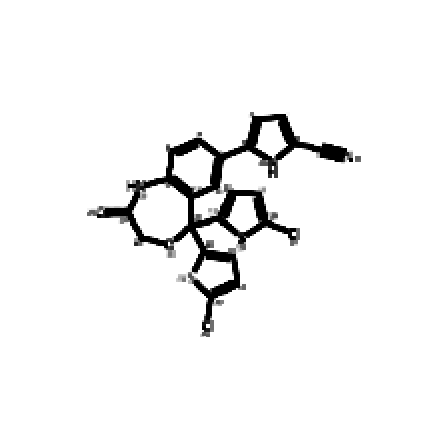 N#Cc1ccc(-c2ccc3c(c2)C(c2ccc(Cl)s2)(c2ccc(Cl)s2)OCC(=O)N3)[nH]1